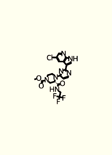 COC(=O)N1CCN(c2ccnc(-c3c[nH]c4ncc(Cl)cc34)n2)[C@H](C(=O)NCC(F)(F)F)C1